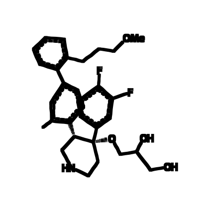 COCCCc1ccccc1-c1ccc([C@H]2CNCC[C@]2(OCC(O)CO)c2ccc(F)c(F)c2)c(C)c1